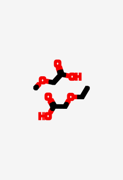 CCOCC(=O)O.COCC(=O)O